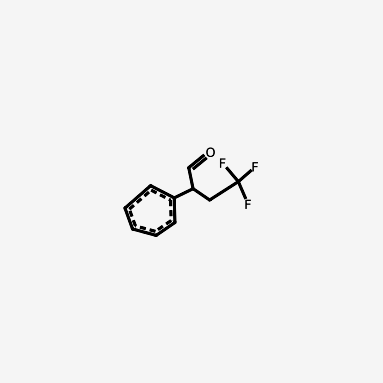 O=CC(CC(F)(F)F)c1ccccc1